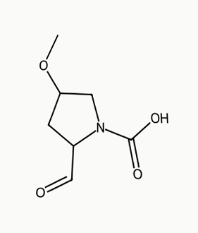 COC1CC(C=O)N(C(=O)O)C1